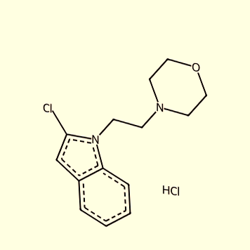 Cl.Clc1cc2ccccc2n1CCN1CCOCC1